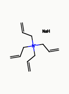 C=CC[N+](CC=C)(CC=C)CC=C.[NaH]